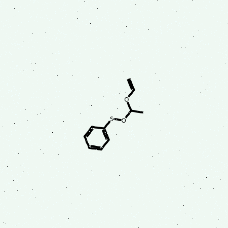 C=COC(C)OSc1ccccc1